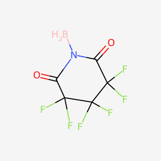 BN1C(=O)C(F)(F)C(F)(F)C(F)(F)C1=O